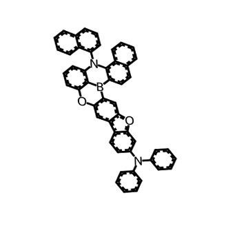 c1ccc(N(c2ccccc2)c2ccc3c(c2)oc2cc4c(cc23)Oc2cccc3c2B4c2ccc4ccccc4c2N3c2cccc3ccccc23)cc1